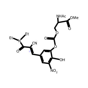 CCN(CC)C(=O)/C(C#N)=C/c1cc(OC(=O)OCC(NC(C)=O)C(=O)OC)c(O)c([N+](=O)[O-])c1